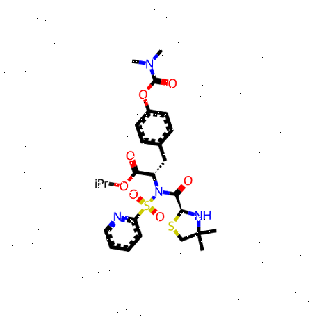 CC(C)OC(=O)[C@H](Cc1ccc(OC(=O)N(C)C)cc1)N(C(=O)[C@H]1NC(C)(C)CS1)S(=O)(=O)c1ccccn1